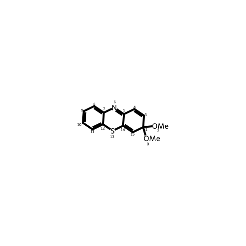 COC1(OC)C=CC2=Nc3ccccc3SC2=C1